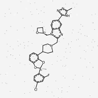 Cc1nnc(-c2ccc3c(c2)nc(CN2CCC(c4cccc5c4O[C@@](C)(c4ccc(Cl)cc4F)O5)CC2)n3C[C@@H]2CCO2)[nH]1